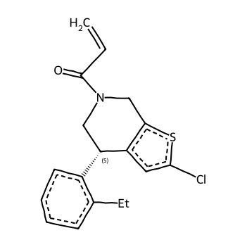 C=CC(=O)N1Cc2sc(Cl)cc2[C@H](c2ccccc2CC)C1